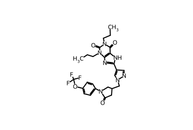 CCCn1c(=O)c2[nH]c(-c3cnn(CC4CC(=O)N(c5ccc(OC(F)(F)F)cc5)C4)c3)nc2n(CCC)c1=O